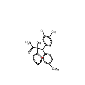 COc1ccc(C(c2ccc(C#N)c(Cl)c2)C(O)(C(N)=O)c2ccccc2)cc1